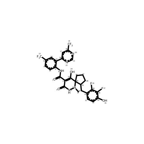 CN1NC(=O)C(C(=O)Nc2ccc(C(F)(F)F)cc2-c2cc(C(F)(F)F)ncn2)=C(O)C12CCCC2Cc1ccc(O)c(F)c1F